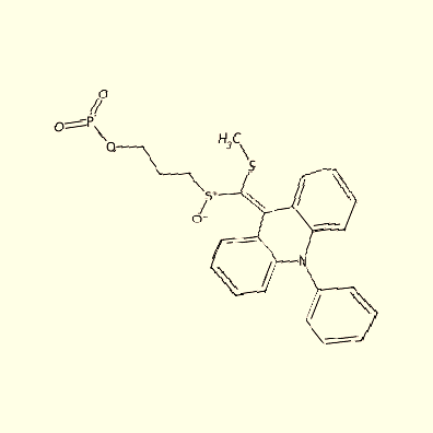 CSC(=C1c2ccccc2N(c2ccccc2)c2ccccc21)[S+]([O-])CCCOP(=O)=O